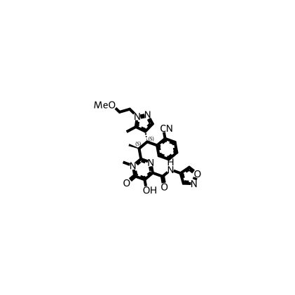 COCCn1ncc([C@H](c2ccccc2C#N)[C@H](C)c2nc(C(=O)Nc3cnoc3)c(O)c(=O)n2C)c1C